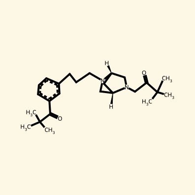 CC(C)(C)C(=O)CN1C[C@@H]2C[C@H]1CN2CCCc1cccc(C(=O)C(C)(C)C)c1